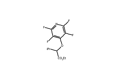 CCOC(=O)C(Oc1c(F)c(F)nc(F)c1F)C(C)C